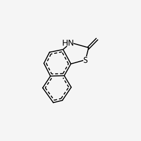 C=C1Nc2ccc3ccccc3c2S1